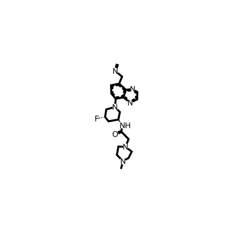 C=NCc1ccc(N2C[C@@H](F)C[C@@H](NC(=O)CN3CCN(C)CC3)C2)c2nccnc12